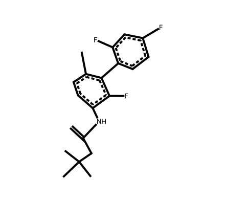 C=C(CC(C)(C)C)Nc1ccc(C)c(-c2ccc(F)cc2F)c1F